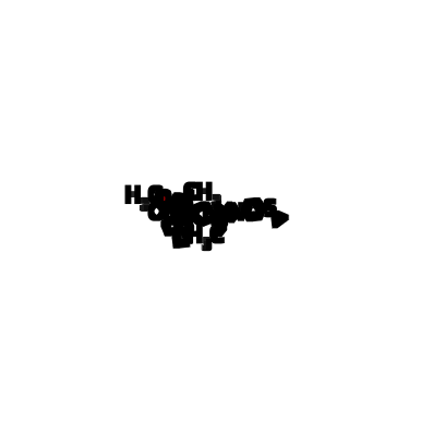 CCOC1(CN2CCC(C(CN3CCC3)(c3cc(C)cc(F)c3)C3CCCC3NC(=O)OC)CC2)CN(c2ccc(SC3CC3)cc2)C1